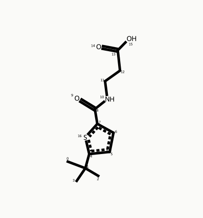 CC(C)(C)c1ccc(C(=O)NCCC(=O)O)s1